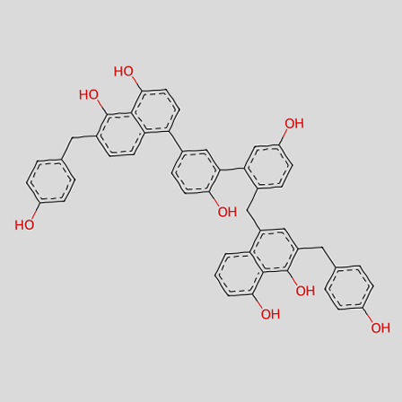 Oc1ccc(Cc2cc(Cc3ccc(O)cc3-c3cc(-c4ccc(O)c5c(O)c(Cc6ccc(O)cc6)ccc45)ccc3O)c3cccc(O)c3c2O)cc1